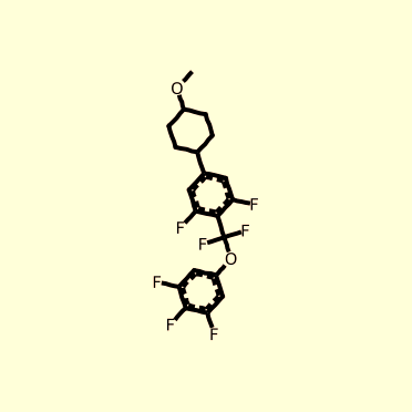 COC1CCC(c2cc(F)c(C(F)(F)Oc3cc(F)c(F)c(F)c3)c(F)c2)CC1